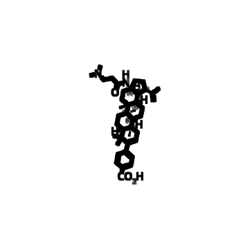 C=C(C)[C@@H]1CC[C@]2(NC(=O)CCN(C)C)CC[C@]3(C)[C@H](CC[C@@H]4[C@@]5(C)CC=C(c6ccc(C(=O)O)cc6)C(C)(C)[C@@H]5CC[C@]43C)[C@@H]12